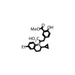 CCc1ccc2c(c1)CCC(C1CC1)N2C(Cc1ccc(O)c(C(=O)OC)c1)C(=O)O